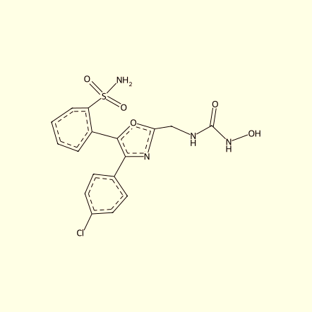 NS(=O)(=O)c1ccccc1-c1oc(CNC(=O)NO)nc1-c1ccc(Cl)cc1